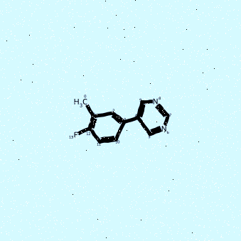 Cc1cc(-c2[c]ncnc2)ccc1F